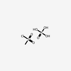 CS(=O)(=O)Cl.O=P(O)(O)O